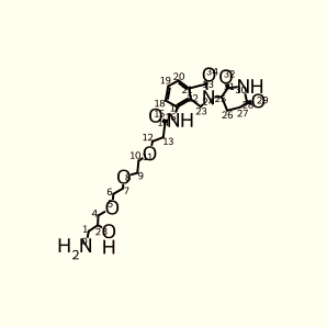 NCC(O)COCCOCCOCCC(=O)Nc1cccc2c1CN(C1CCC(=O)NC1=O)C2=O